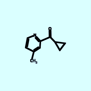 Cc1ccnc(C(=O)C2CC2)c1